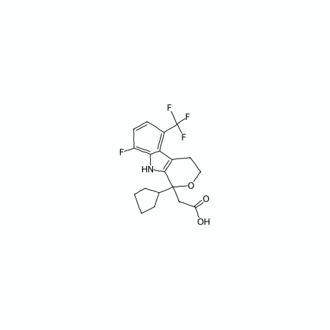 O=C(O)CC1(C2CCCC2)OCCc2c1[nH]c1c(F)ccc(C(F)(F)F)c21